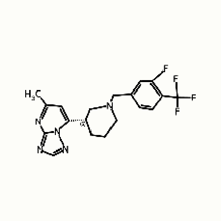 Cc1cc([C@H]2CCCN(Cc3ccc(C(F)(F)F)c(F)c3)C2)n2ncnc2n1